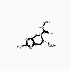 COC[C@@H]1Cc2nc(N)sc2CN1C(=O)OC(C)(C)C